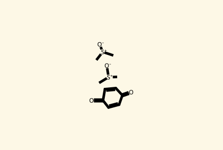 C[S+](C)[O-].C[S+](C)[O-].O=C1C=CC(=O)C=C1